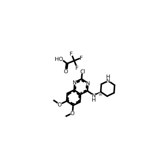 COc1cc2nc(Cl)nc(N[C@@H]3CCCNC3)c2cc1OC.O=C(O)C(F)(F)F